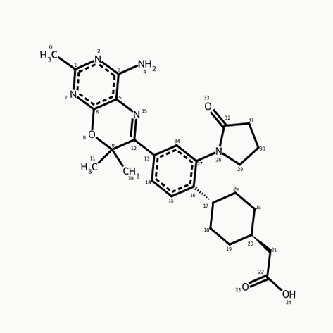 Cc1nc(N)c2c(n1)OC(C)(C)C(c1ccc([C@H]3CC[C@H](CC(=O)O)CC3)c(N3CCCC3=O)c1)=N2